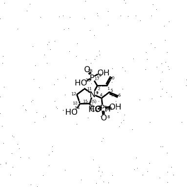 C=CC([N+]1(C(C=C)P(=O)(O)O)CCC(O)[C@H]1C(=O)O)P(=O)(O)O